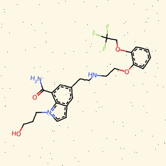 NC(=O)c1cc(CCNCCOc2ccccc2OCC(F)(F)F)cc2ccn(CCCO)c12